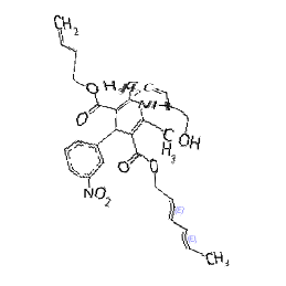 C=CCCO.C=CCCOC(=O)C1=C(C)NC(C)=C(C(=O)OC/C=C/C=C/C)C1c1cccc([N+](=O)[O-])c1